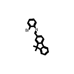 CC1(C)c2ccccc2-c2ccc(/C=N/c3ccccc3Br)cc21